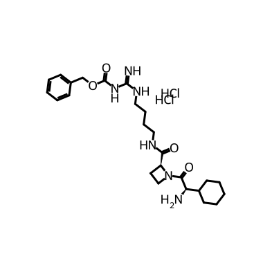 Cl.Cl.N=C(NCCCCNC(=O)[C@@H]1CCN1C(=O)[C@H](N)C1CCCCC1)NC(=O)OCc1ccccc1